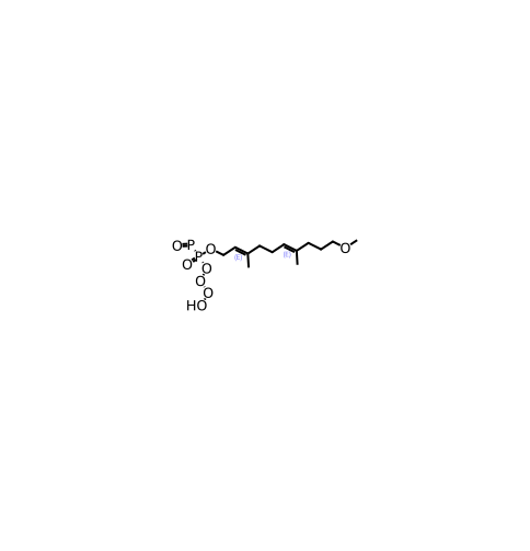 COCCC/C(C)=C/CC/C(C)=C/COP(=O)(OOOO)P=O